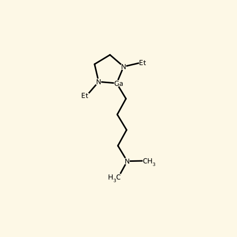 CC[N]1CC[N](CC)[Ga]1[CH2]CCCN(C)C